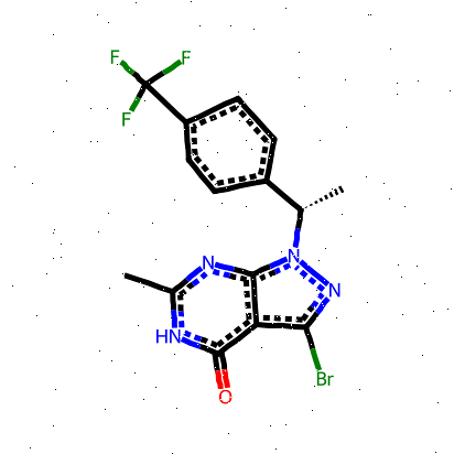 Cc1nc2c(c(Br)nn2[C@@H](C)c2ccc(C(F)(F)F)cc2)c(=O)[nH]1